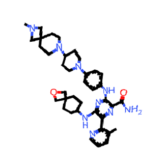 Cc1cccnc1-c1nc(C(N)=O)c(Nc2ccc(N3CCC(N4CCC5(CC4)CN(C)C5)CC3)cc2)nc1NC1CCC2(CC1)COC2